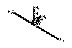 CCCCCCCCCCCCCCCCCCN(CCCCCCCCCCCCCCCCCC)C(=O)C(CC(=O)O)NC(=O)C(CCCNCCCN)NCCCN